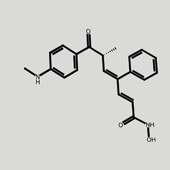 CNc1ccc(C(=O)[C@H](C)/C=C(/C=C/C(=O)NO)c2ccccc2)cc1